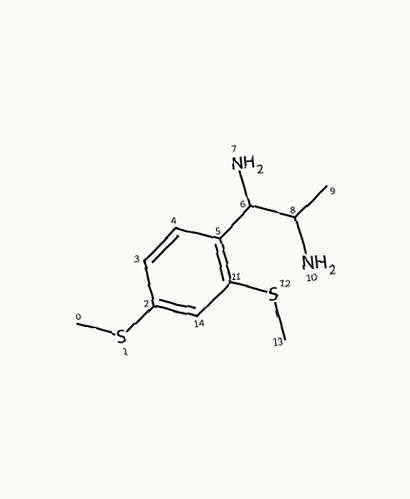 CSc1ccc(C(N)C(C)N)c(SC)c1